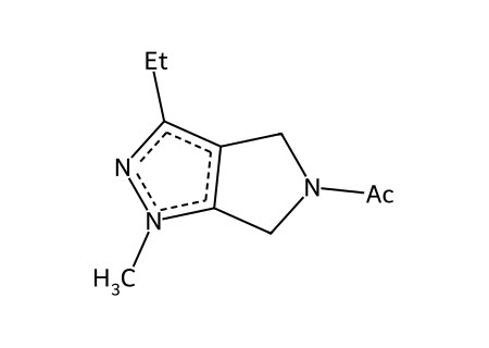 CCc1nn(C)c2c1CN(C(C)=O)C2